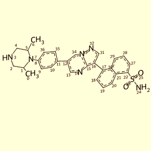 CC1CNCC(C)N1c1ccc(-c2cnc3c(-c4cccc5c(S(N)(=O)=O)cccc45)cnn3c2)cc1